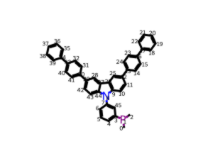 CP(C)c1cccc(-n2c3ccc(-c4ccc(-c5ccccc5)cc4)cc3c3cc(-c4ccc(-c5ccccc5)cc4)ccc32)c1